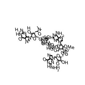 CO[C@@H]1[C@H](P(=O)([O-])OC[C@H]2O[C@@H](n3cnc4c(=O)[nH]c(N)nc43)[C@H](O)[C@@H]2O)[C@@H](COP(=O)(O)OP(=O)(O)CP(=O)(O)OP(=O)(O)OC[C@H]2OC(n3c[n+](C)c4c(=O)[nH]c(N)nc43)[C@H](O)[C@@H]2CC(=O)N(C)C)O[C@H]1n1cnc2c(N)ncnc21